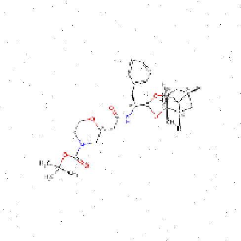 CC(C)(C)OC(=O)N1CCO[C@H](CC(=O)N[C@@H](Cc2ccccc2)B2O[C@@H]3C[C@@H]4C[C@@H](C4(C)C)[C@]3(C)O2)C1